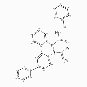 C=C(CC)N(c1ccc(-c2ccccc2)cc1)C(C(=O)NCc1ccccc1)c1cccnc1